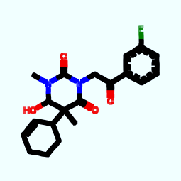 CN1C(=O)N(CC(=O)c2cccc(F)c2)C(=O)C(C)(C2C=CCCC2)C1O